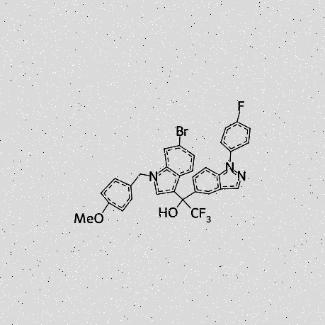 COc1ccc(Cn2cc(C(O)(c3ccc4c(cnn4-c4ccc(F)cc4)c3)C(F)(F)F)c3ccc(Br)cc32)cc1